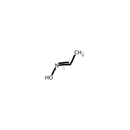 [CH2]/C=N/O